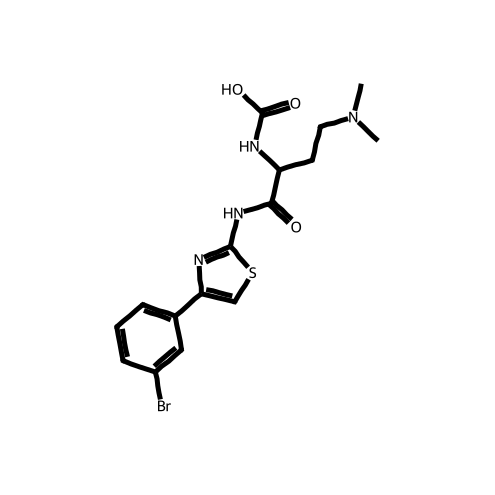 CN(C)CCC(NC(=O)O)C(=O)Nc1nc(-c2cccc(Br)c2)cs1